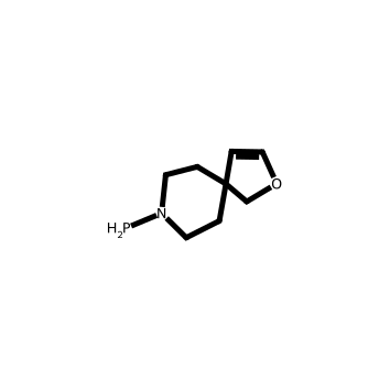 PN1CCC2(C=COC2)CC1